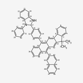 CC1(C)c2ccccc2-c2cc3c(-c4ccc(C5Nc6ccccc6N5c5ccccc5)cc4)c4ccccc4c(-c4ccc5ccccc5c4)c3cc21